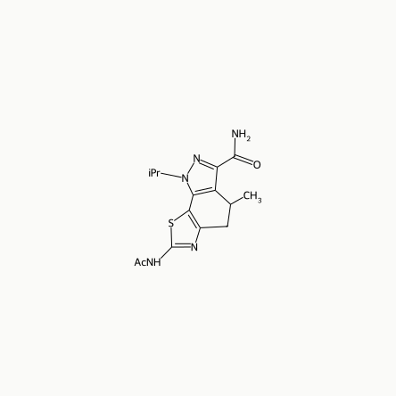 CC(=O)Nc1nc2c(s1)-c1c(c(C(N)=O)nn1C(C)C)C(C)C2